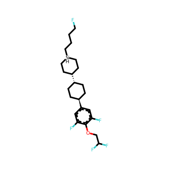 FCCCC[SiH]1CCC([C@H]2CC[C@H](c3cc(F)c(OCC(F)F)c(F)c3)CC2)CC1